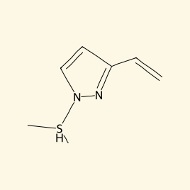 C=Cc1ccn([SH](C)C)n1